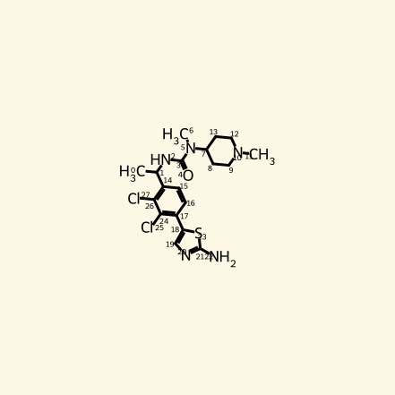 CC(NC(=O)N(C)C1CCN(C)CC1)c1ccc(-c2cnc(N)s2)c(Cl)c1Cl